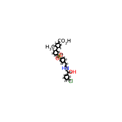 Cc1cc(C(=O)O)ccc1-c1cccc(S(=O)(=O)c2ccc(CCNCC(O)c3cccc(Cl)c3)cc2)c1